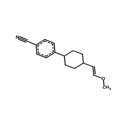 CO/C=C/C1CCC(c2ccc(C#N)cc2)CC1